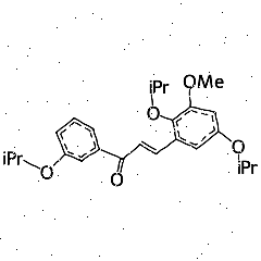 COc1cc(OC(C)C)cc(C=CC(=O)c2cccc(OC(C)C)c2)c1OC(C)C